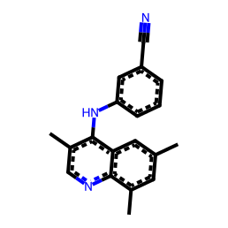 Cc1cc(C)c2ncc(C)c(Nc3cccc(C#N)c3)c2c1